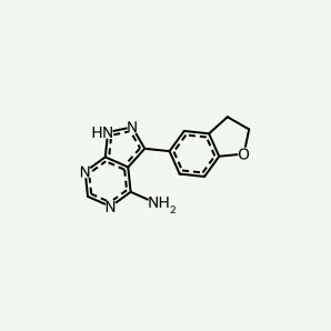 Nc1ncnc2[nH]nc(-c3ccc4c(c3)CCO4)c12